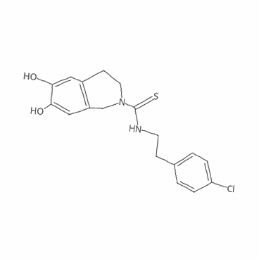 Oc1cc2c(cc1O)CN(C(=S)NCCc1ccc(Cl)cc1)CC2